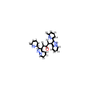 Cc1cccc(-c2nn3ccccc3c2C(C)C(=O)C(C)c2c(-c3cccc(C)n3)nn3ccccc23)n1